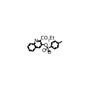 CCOC(=O)c1nc2ccccc2cc1OS(=O)(=O)c1ccc(C)cc1